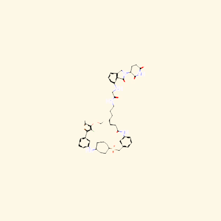 O=C(O)COc1c(C(=O)O)sc(-c2cccc(NC3CCCC(S(=O)(=O)Cc4cccc(NC(=O)CCCCCCNC(=O)CNc5cccc6c5C(=O)N(C5CCC(=O)NC5=O)C6)c4)CC3)c2)c1Cl